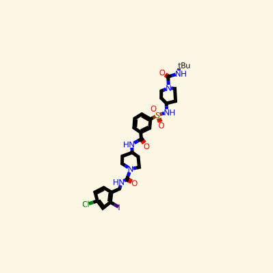 CC(C)(C)NC(=O)N1CCC(NS(=O)(=O)c2cccc(C(=O)NC3CCN(C(=O)NCc4ccc(Cl)cc4I)CC3)c2)CC1